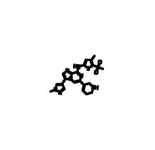 Cc1cc(Nc2nc(C3=CCCNC3)cn3c(-c4cnn(C)c4)cnc23)sc1S(C)(=O)=O